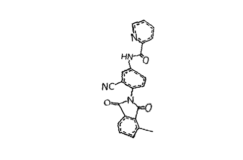 Cc1cccc2c1C(=O)N(c1ccc(NC(=O)c3ccccn3)cc1C#N)C2=O